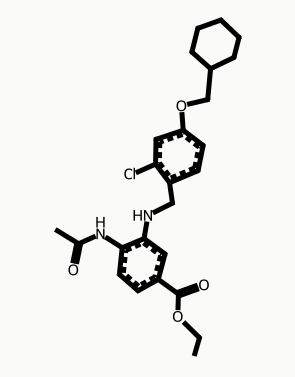 CCOC(=O)c1ccc(NC(C)=O)c(NCc2ccc(OCC3CCCCC3)cc2Cl)c1